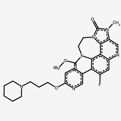 Cn1c(=O)n2c3c4c(c(-c5ccc(OCCCN6CCCCC6)nc5)c(F)cc4ncc31)N(C(=O)OC(C)(C)C)CC2